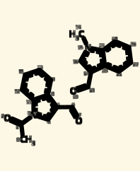 CC(=O)n1cc(C=O)c2ccccc21.Cn1cc(C=O)c2ccccc21